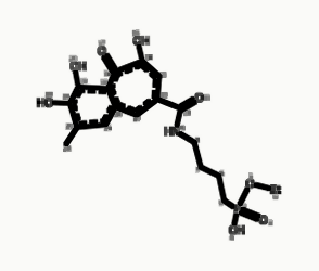 CCOP(=O)(O)CCCCNC(=O)c1cc(O)c(=O)c2c(O)c(O)c(C)cc2c1